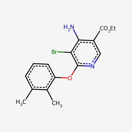 CCOC(=O)c1cnc(Oc2cccc(C)c2C)c(Br)c1N